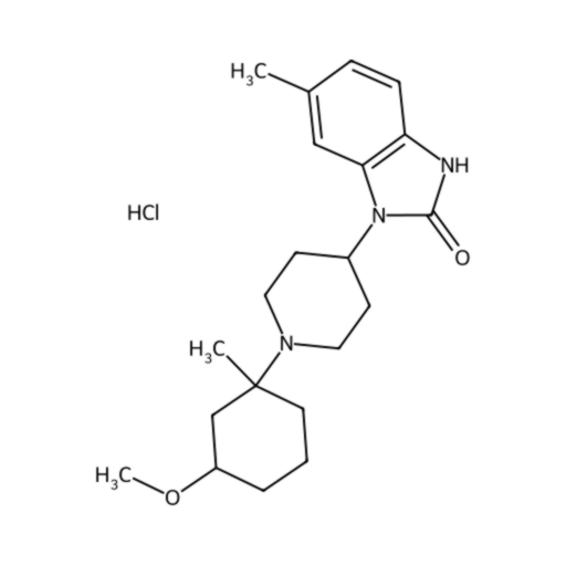 COC1CCCC(C)(N2CCC(n3c(=O)[nH]c4ccc(C)cc43)CC2)C1.Cl